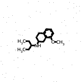 CCC(CC)NC1CCc2cccc(OC)c2C1